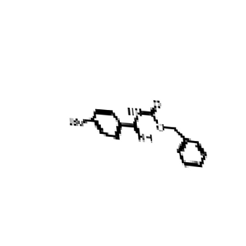 CC(C)(C)c1ccc(C(=N)NC(=O)OCc2ccccc2)cc1